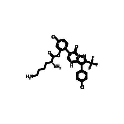 NCCCC[C@@H](N)C(=O)Oc1cc(Cl)ccc1-c1c[nH]c2c(-c3ccc(Cl)cc3)c(C(F)(F)F)nn2c1=O